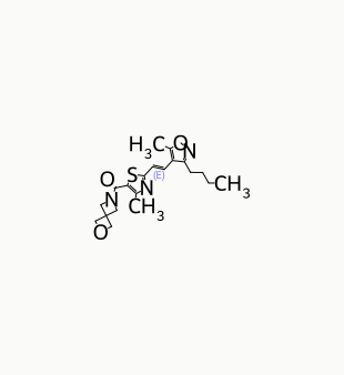 CCCCc1noc(C)c1/C=C/c1nc(C)c(C(=O)N2CC3(COC3)C2)s1